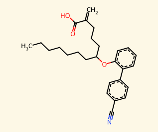 C=C(CCCC(CCCCCCC)Oc1ccccc1-c1ccc(C#N)cc1)C(=O)O